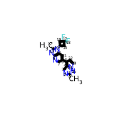 Cc1ncc2c(-c3cnc4nc(C)n(C5CC(F)(F)C5)c4c3)ccn2n1